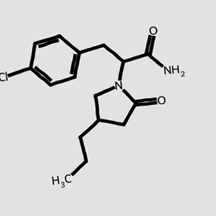 CCCC1CC(=O)N(C(Cc2ccc(Cl)cc2)C(N)=O)C1